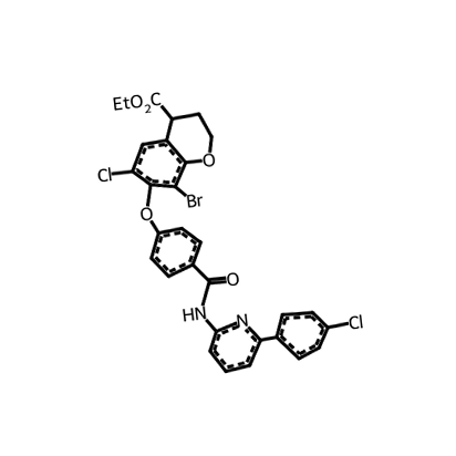 CCOC(=O)C1CCOc2c1cc(Cl)c(Oc1ccc(C(=O)Nc3cccc(-c4ccc(Cl)cc4)n3)cc1)c2Br